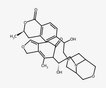 CC1=C2COC=C2CC(=O)C1[C@@H](O)CN1C2COCC1CN(CC(O)c1ccc3c(c1)C[C@@H](C)OC3=O)C2